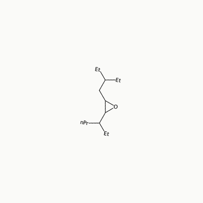 CCCC(CC)C1OC1CC(CC)CC